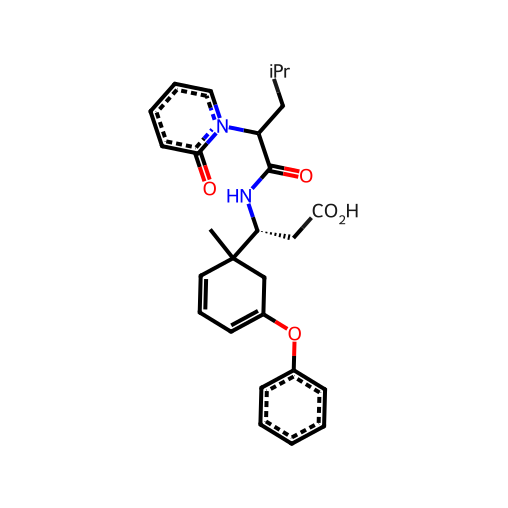 CC(C)CC(C(=O)N[C@H](CC(=O)O)C1(C)C=CC=C(Oc2ccccc2)C1)n1ccccc1=O